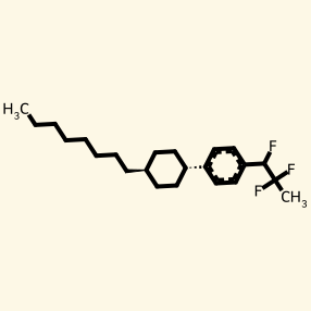 CCCCCCCC[C@H]1CC[C@H](c2ccc(C(F)C(C)(F)F)cc2)CC1